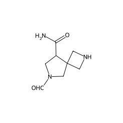 NC(=O)C1CN(C=O)CC12CNC2